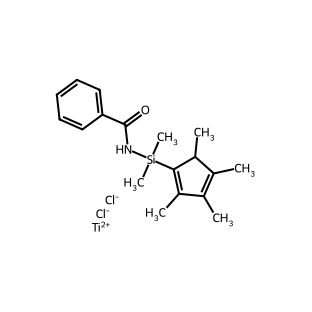 CC1=C(C)C(C)C([Si](C)(C)NC(=O)c2ccccc2)=C1C.[Cl-].[Cl-].[Ti+2]